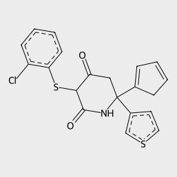 O=C1CC(C2=CC=CC2)(c2ccsc2)NC(=O)C1Sc1ccccc1Cl